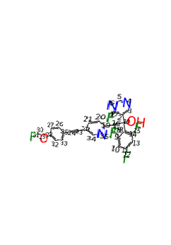 OC(c1cncnc1)(c1ccc(F)cc1F)C(F)(F)c1ccc(C#Cc2ccc(OCF)cc2)cn1